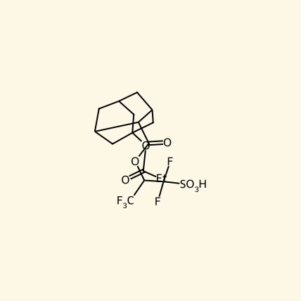 CCC(=O)OC12CC3CC(C1)C(C(=O)OC(C(F)(F)F)C(F)(F)S(=O)(=O)O)C(C3)C2